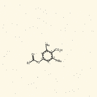 CCC(=O)Oc1cc(C(C)(C)C)c(C(=O)O)c(C(C)(C)C)c1